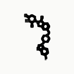 O=C1CCN(N2Cc3cc(CN4CCC(n5cnc6cc(F)ccc65)CC4)ccc3C2=O)C(=O)N1